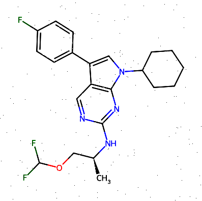 C[C@@H](COC(F)F)Nc1ncc2c(-c3ccc(F)cc3)cn(C3CCCCC3)c2n1